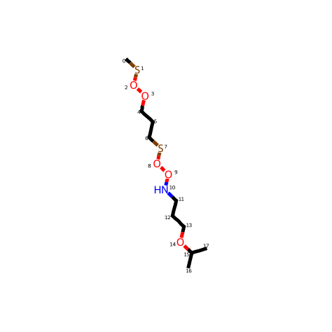 CSOOCCCSOONCCCOC(C)C